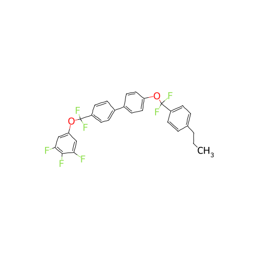 CCCc1ccc(C(F)(F)Oc2ccc(-c3ccc(C(F)(F)Oc4cc(F)c(F)c(F)c4)cc3)cc2)cc1